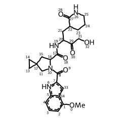 COc1cccc2[nH]c(C(=O)N3CC4(CC4)CC3C(=O)NC(CC3CCCNC3=O)C(=O)CO)cc12